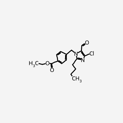 CCCCc1nc(Cl)c(C=O)n1Cc1ccc(C(=O)OCC)cc1